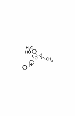 CCCNC[C@@H]1O[C@H](C2CCN(Cc3ccccc3)CC2)Cc2c1ccc(C)c2O